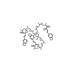 CCC(COCC(C)OCC(C)OCC(C)NC(=O)/C=C/c1ccc2c(c1)CC2)(COCC(C)OCC(C)OCC(C)NC(=O)/C=C/c1ccc2c(c1)CC2)COCC(C)OCC(C)OCC(C)NC(=O)/C=C/c1ccc2c(c1)CC2